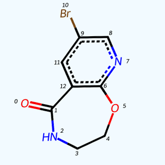 O=C1NCCOc2ncc(Br)cc21